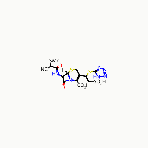 CSC(C#N)C(=O)NC1C(=O)N2C(C(=O)O)=C(C(CS(=O)(=O)O)Sc3nnn[nH]3)CS[C@@H]12